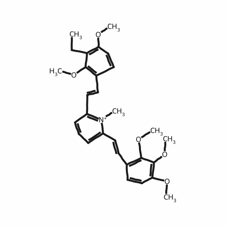 CCc1c(OC)ccc(/C=C/c2cccc(/C=C/c3ccc(OC)c(OC)c3OC)[n+]2C)c1OC